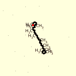 CC1=C(/C=C/C(C)=C/C=C/C(C)=C/C=C/C=C(C)/C=C/C=C(\C)CCC2=C(C)CCCC2(C)C)C(C)(C)CCC1